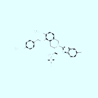 CCS(=O)(=O)NC(=O)[C@@H]1Cc2c(ccc(OC)c2OCc2ccc(OC)cc2)CN1c1nc2ccc(F)cc2o1